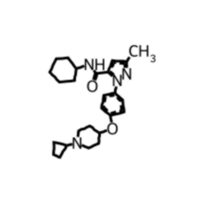 Cc1cc(C(=O)NC2CCCCC2)n(-c2ccc(OC3CCN(C4CCC4)CC3)cc2)n1